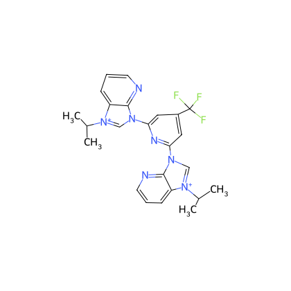 CC(C)[n+]1cn(-c2cc(C(F)(F)F)cc(-n3c[n+](C(C)C)c4cccnc43)n2)c2ncccc21